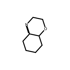 C1CCC23CCCCN2CCOC3C1